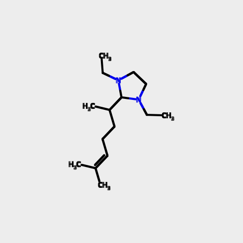 CCN1CCN(CC)C1C(C)CCC=C(C)C